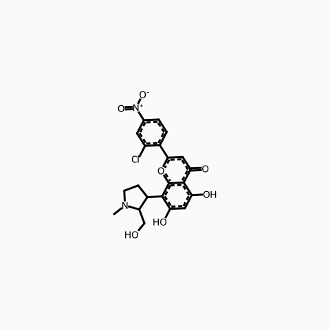 CN1CCC(c2c(O)cc(O)c3c(=O)cc(-c4ccc([N+](=O)[O-])cc4Cl)oc23)C1CO